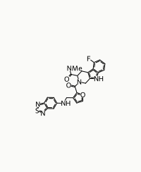 CNC(=O)C1Cc2c([nH]c3cccc(F)c23)CN1C(=O)c1occc1CNc1ccc2nsnc2c1